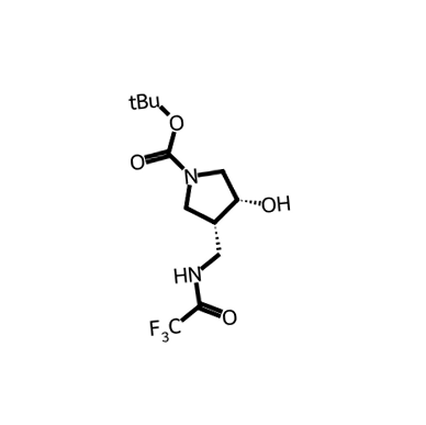 CC(C)(C)OC(=O)N1C[C@@H](CNC(=O)C(F)(F)F)[C@@H](O)C1